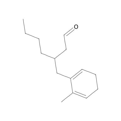 CCCCC(CC=O)CC1=CCCC=C1C